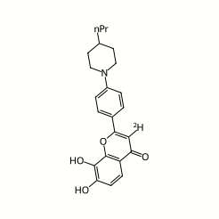 [2H]c1c(-c2ccc(N3CCC(CCC)CC3)cc2)oc2c(O)c(O)ccc2c1=O